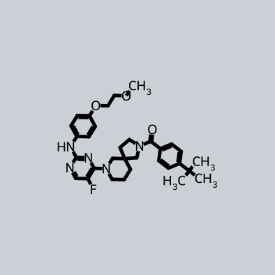 COCCOc1ccc(Nc2ncc(F)c(N3CCCC4(CCN(C(=O)c5ccc(C(C)(C)C)cc5)C4)C3)n2)cc1